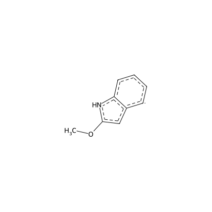 COc1cc2[c]cccc2[nH]1